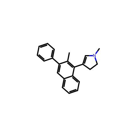 Cc1c(-c2ccccc2)cc2ccccc2c1C1=CN(C)CC1